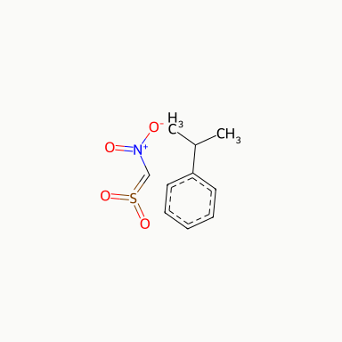 CC(C)c1ccccc1.O=[N+]([O-])C=S(=O)=O